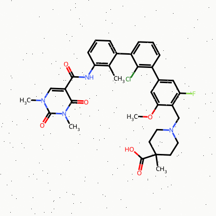 COc1cc(-c2cccc(-c3cccc(NC(=O)c4cn(C)c(=O)n(C)c4=O)c3C)c2Cl)cc(F)c1CN1CCC(C)(C(=O)O)CC1